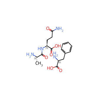 C[C@H](N)C(=O)N[C@@H](CCC(N)=O)C(=O)O.N[C@@H](Cc1ccccc1)C(=O)O